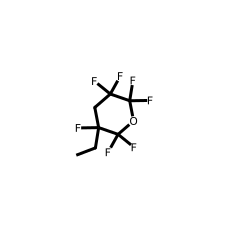 CCC1(F)CC(F)(F)C(F)(F)OC1(F)F